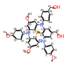 COc1ccc(N2c3cc(CO)cc4c3P3(=S)c5c(cc(OC)cc5N(c5ccc(OC)cc5)c5cc(OC)cc2c53)N4c2ccc(CO)cc2)cc1